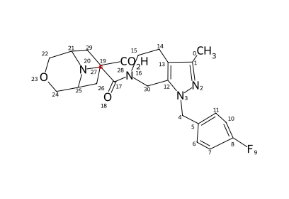 Cc1nn(Cc2ccc(F)cc2)c2c1CCN(C(=O)CN1C3COCC1CC(C(=O)O)C3)C2